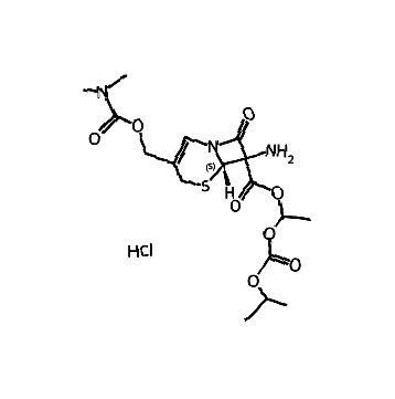 CC(C)OC(=O)OC(C)OC(=O)C1(N)C(=O)N2C=C(COC(=O)N(C)C)CS[C@H]21.Cl